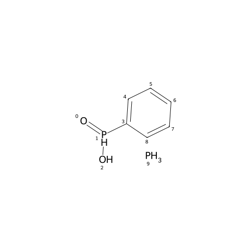 O=[PH](O)c1ccccc1.P